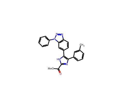 COC(=O)c1nc(-c2cccc(C)c2)c(-c2ccc3nnn(-c4ccccc4)c3c2)[nH]1